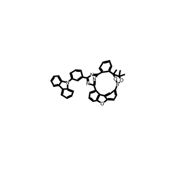 CC1(C)OB2OC1(C)c1ccccc1-c1nc(-c3cccc(-n4c5ccccc5c5ccccc54)c3)nc(n1)-c1cccc3oc4ccc2cc4c13